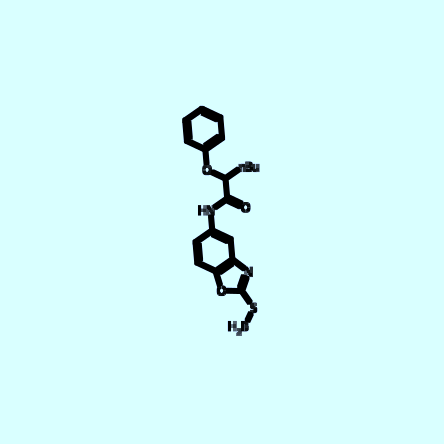 BSc1nc2cc(NC(=O)C(CCCC)Oc3ccccc3)ccc2o1